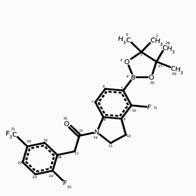 CC1(C)OB(c2ccc3c(c2F)CCN3C(=O)Cc2cc(C(F)(F)F)ccc2F)OC1(C)C